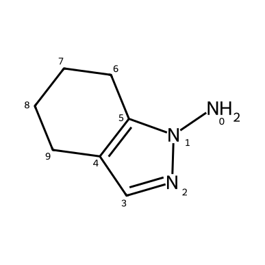 Nn1ncc2c1CCCC2